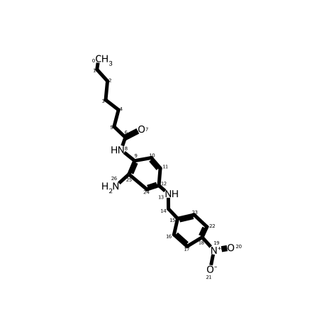 CCCCCCC(=O)Nc1ccc(NCc2ccc([N+](=O)[O-])cc2)cc1N